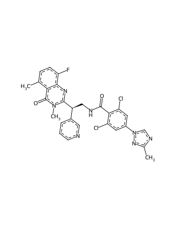 Cc1ncn(-c2cc(Cl)c(C(=O)NC[C@@H](c3cccnc3)c3nc4c(F)ccc(C)c4c(=O)n3C)c(Cl)c2)n1